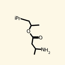 CC(C)CC(C)OC(=O)CC(C)N